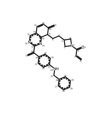 C=CC(=O)N1CC(CCC2C(=C)C=Cc3cnc(C(=C)c4ccc(NCc5ccccc5)cc4)nc32)C1